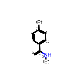 C=C(NCC)c1ccc(CC)cc1